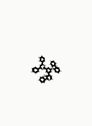 c1ccc(-c2cc(-c3ccccc3)nc(-c3cc(-c4ccnc5c4sc4ccccc45)cc(-n4c5ccccc5c5ccccc54)c3)n2)cc1